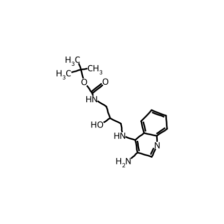 CC(C)(C)OC(=O)NCC(O)CNc1c(N)cnc2ccccc12